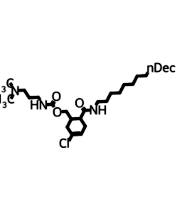 CCCCCCCCCCCCCCCCCCNC(=O)C1CC=C(Cl)CC1COC(=O)NCCCN(C)C